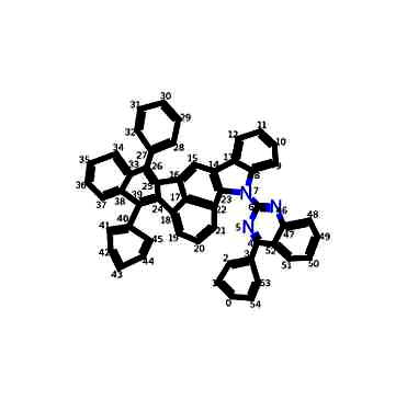 c1ccc(-c2nc(-n3c4ccccc4c4cc5c6c(cccc6c43)-c3c-5c(-c4ccccc4)c4ccccc4c3-c3ccccc3)nc3ccccc23)cc1